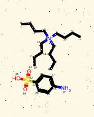 CCCC[N+](CCCC)(CCCC)CCCC.Nc1ccc(S(=O)(=O)O)cc1